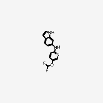 FC(F)Oc1ccc(Nc2ccc3cc[nH]c3c2)nc1